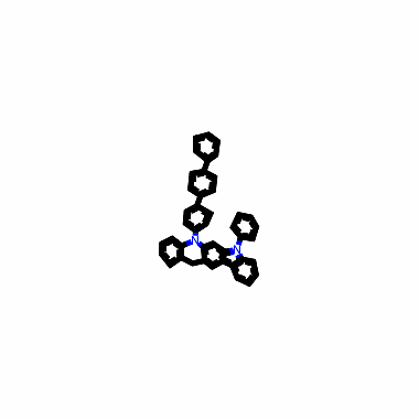 c1ccc(-c2ccc(-c3ccc(N4c5ccccc5Cc5cc6c7ccccc7n(-c7ccccc7)c6cc54)cc3)cc2)cc1